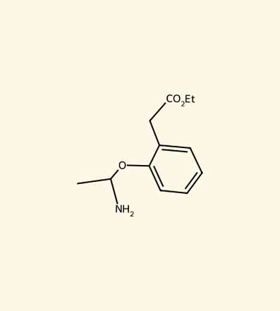 CCOC(=O)Cc1ccccc1OC(C)N